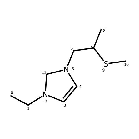 CCN1C=CN(CC(C)SC)C1